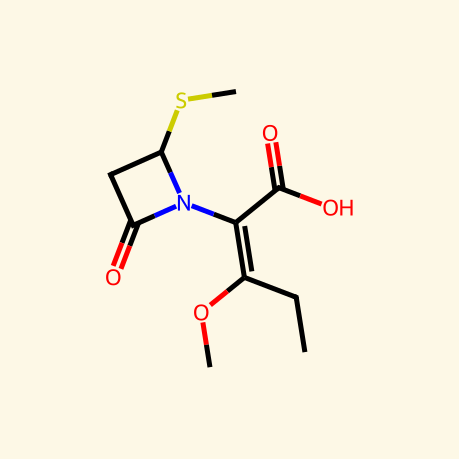 CCC(OC)=C(C(=O)O)N1C(=O)CC1SC